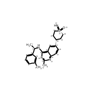 Cc1cccc([C@@H](C)Nc2nc(C)nc3ccc([C@H]4CC[S@](=N)(=O)CC4)cc23)c1